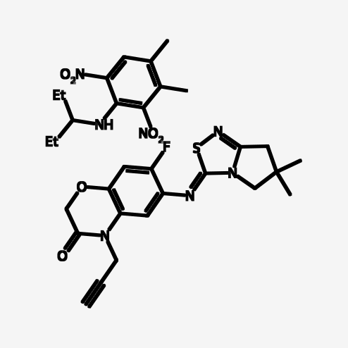 C#CCN1C(=O)COc2cc(F)c(/N=c3\snc4n3CC(C)(C)C4)cc21.CCC(CC)Nc1c([N+](=O)[O-])cc(C)c(C)c1[N+](=O)[O-]